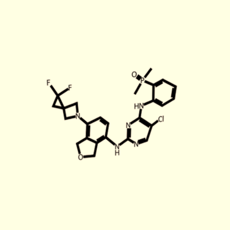 CP(C)(=O)c1ccccc1Nc1nc(Nc2ccc(N3CC4(C3)CC4(F)F)c3c2COC3)ncc1Cl